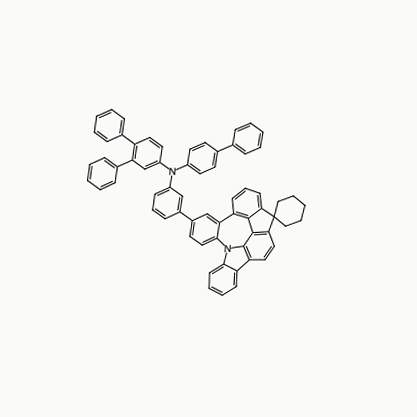 c1ccc(-c2ccc(N(c3cccc(-c4ccc5c(c4)-c4cccc6c4-c4c(ccc7c8ccccc8n-5c47)C64CCCCC4)c3)c3ccc(-c4ccccc4)c(-c4ccccc4)c3)cc2)cc1